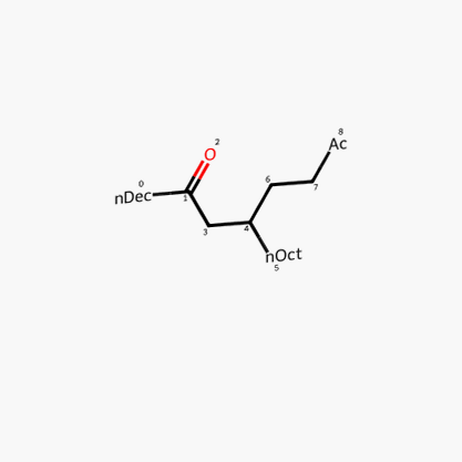 CCCCCCCCCCC(=O)CC(CCCCCCCC)CCC(C)=O